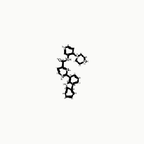 O=C(Nc1cnccc1N1CCNCC1)c1ccnc(-c2cccc3c2sc2ccccc23)n1